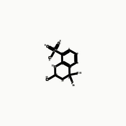 O=S(=O)(Cl)c1cccc2c1OC(Cl)CC2(F)F